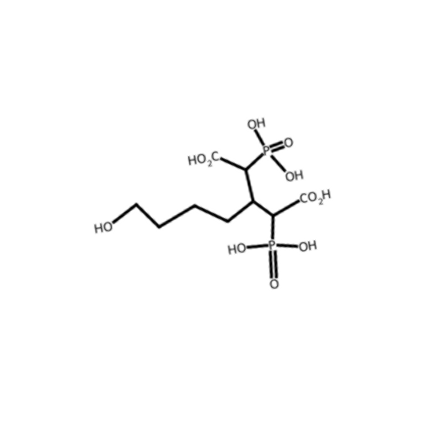 O=C(O)C(C(CCCCO)C(C(=O)O)P(=O)(O)O)P(=O)(O)O